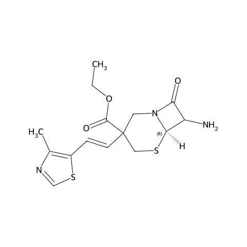 CCOC(=O)C1(C=Cc2scnc2C)CS[C@@H]2C(N)C(=O)N2C1